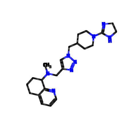 CN(Cc1cn(CC2CCN(C3=NCCN3)CC2)nn1)C1CCCc2cccnc21